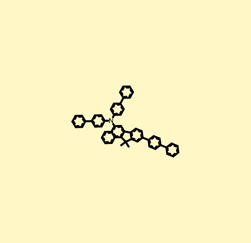 CC1(C)c2cc(-c3ccc(-c4ccccc4)cc3)ccc2-c2cc(N(c3ccc(-c4ccccc4)cc3)c3ccc(-c4ccccc4)cc3)c3ccccc3c21